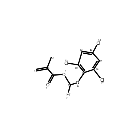 C=C(C)C(=O)OC(CC)Oc1c(Cl)cc(Cl)cc1Cl